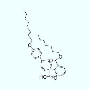 CCCCCCCCOc1ccc(C2C=CC(C(=O)O)(c3ccccc3C(=O)O[C@@H](C)CCCCCC)C=C2)cc1